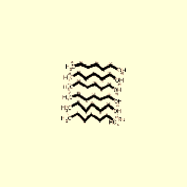 CCCCCCO.CCCCCCO.CCCCCCO.CCCCCCO.CCCCCCO.CCCCCCO.[Ru]